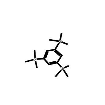 C[Si](C)(C)c1cc([Si](C)(C)C)cc([Si](C)(C)C)c1